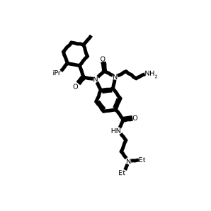 CCN(CC)CCNC(=O)c1ccc2c(c1)n(CCN)c(=O)n2C(=O)C1CC(C)CCC1C(C)C